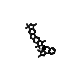 CC1=CC(C)[C]([Zr](=[CH]c2ccccc2)[C]2=C(C)c3cc4c(cc3C2(C)C)Cc2cc3c(cc2-4)C(C)=CC3(C)C)=C1C